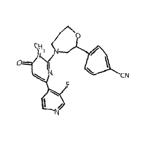 Cn1c(N2CCCOC(c3ccc(C#N)cc3)C2)nc(-c2ccncc2F)cc1=O